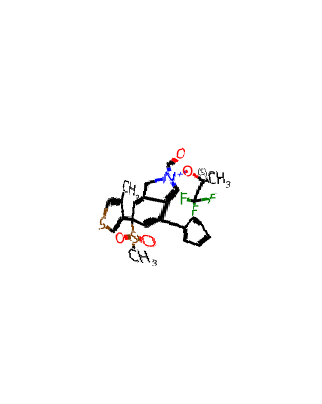 Cc1cscc1C1(S(C)(=O)=O)C=C2C[N+](C=O)(O[C@@H](C)C(F)(F)F)C=C2C(c2ccccc2)=C1